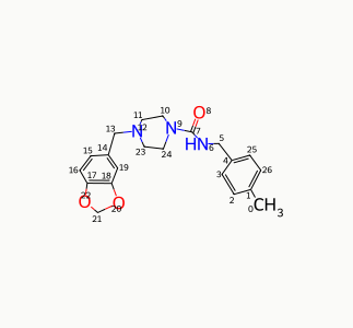 Cc1ccc(CNC(=O)N2CCN(Cc3ccc4c(c3)OCO4)CC2)cc1